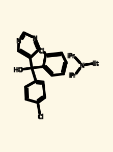 CCN(C(C)C)C(C)C.OC(c1ccc(Cl)cc1)(c1cncnc1)c1ccccc1Cl